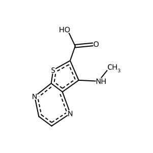 CNc1c(C(=O)O)sc2nccnc12